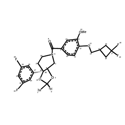 [2H]C1([2H])OC2CN(C(=O)c3ccc(OCC4CC(F)(F)C4)c(OC)c3)CC[C@]2(c2cc(F)cc(F)c2)O1